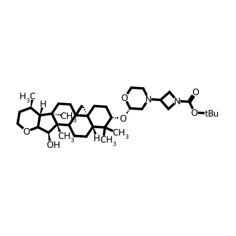 C[C@@H]1CCOC2[C@H]1[C@@]1(C)CCC34C[C@@]35CC[C@H](O[C@H]3CN(C6CN(C(=O)OC(C)(C)C)C6)CCO3)C(C)(C)[C@@H]5CCC4[C@]1(C)[C@H]2O